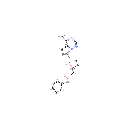 CSc1ncnn2c(C3CC[C@@H](COCc4ccccc4)O3)ccc12